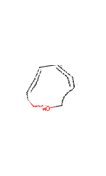 [C]1=[C]COC=C1